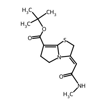 CNC(=O)C=C1CSC2=C(C(=O)OC(C)(C)C)CCN12